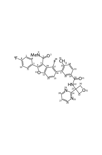 CNC(=O)c1c(-c2ccc(F)cc2)oc2ccc(-c3cc(C(=O)NC4(c5ncccn5)COC4)ccc3C)c(F)c12